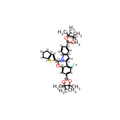 CC1(C)OB(c2cc(F)c3c(c2)OC(c2cc4c(s2)CCC4)n2c-3cc3cc(B4OC(C)(C)C(C)(C)O4)ccc32)OC1(C)C